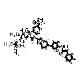 COc1cc(S(C)(=O)=O)ccc1N(C(=O)OCCN(C)C(=O)OC(C)(C)C)c1nc2ccc(-c3ccc(NC(=O)Cc4ccc(F)cc4)cc3)cn2n1